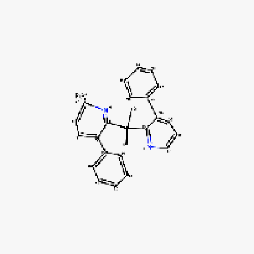 CC(C)(c1ncccc1-c1ccccc1)c1ncccc1-c1ccccc1.[Pt+2]